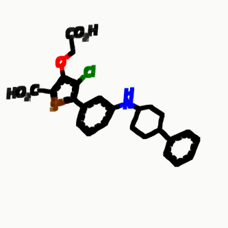 O=C(O)COc1c(C(=O)O)sc(-c2cccc(NC3CCC(c4ccccc4)CC3)c2)c1Cl